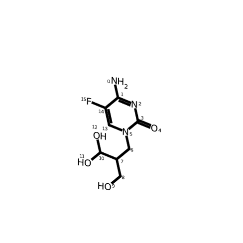 Nc1nc(=O)n(CC(CO)C(O)O)cc1F